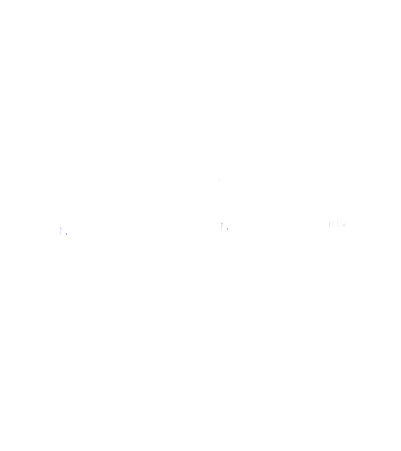 CCCCOC(=O)CCNC(=O)c1ccc(-c2cccnc2)cc1